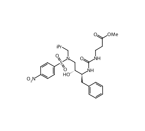 COC(=O)CCNC(=O)N[C@@H](Cc1ccccc1)[C@H](O)CN(CC(C)C)S(=O)(=O)c1ccc([N+](=O)[O-])cc1